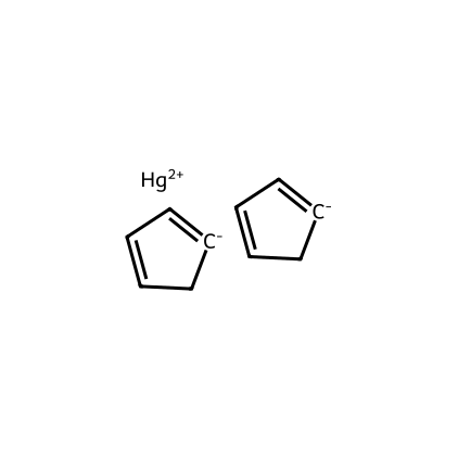 [C-]1=CC=CC1.[C-]1=CC=CC1.[Hg+2]